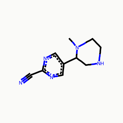 CN1CCNCC1c1cnc(C#N)nc1